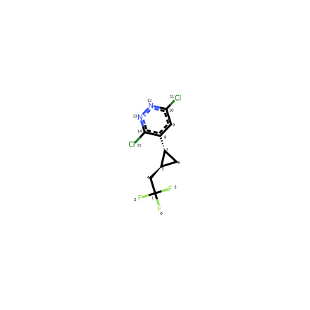 FC(F)(F)C[C@@H]1C[C@H]1c1cc(Cl)nnc1Cl